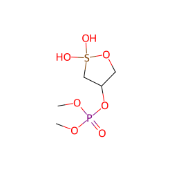 COP(=O)(OC)OC1COS(O)(O)C1